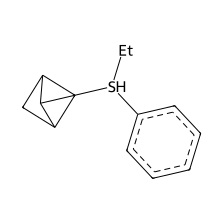 CC[SH](c1ccccc1)C1C2CC1C2